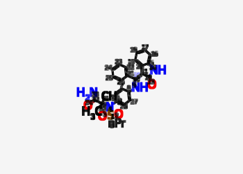 CCCS(=O)(=O)N(c1ccc(N/C(=C2\C(=O)Nc3ccccc32)c2ccccc2)cc1)C(C)(C)C(N)=O